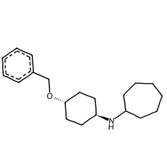 c1ccc(CO[C@H]2CC[C@H](NC3CCCCCC3)CC2)cc1